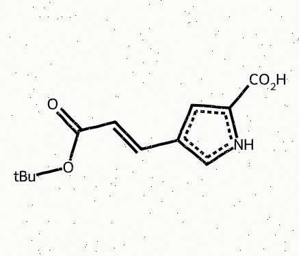 CC(C)(C)OC(=O)C=Cc1c[nH]c(C(=O)O)c1